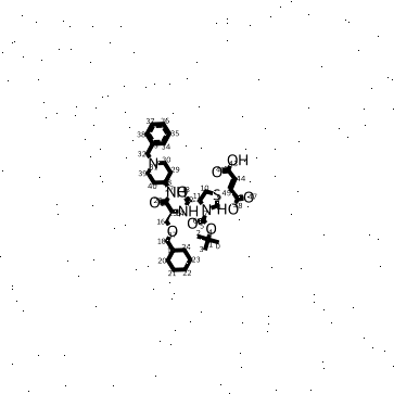 CC(C)(C)OC(=O)N1CSC[C@H]1C(=O)N[C@@H](COCC1CCCCC1)C(=O)NC1CCN(Cc2ccccc2)CC1.O=C(O)/C=C/C(=O)O